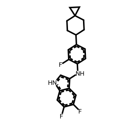 Fc1cc2[nH]cc(Nc3ccc(C4CCC5(CC4)CC5)cc3F)c2cc1F